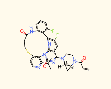 C=CC(=O)N1CCN(c2nc(=O)n3c4nc(c(F)cc24)-c2c(F)cccc2NC(=O)CCSc2ccnc(C(C)C)c2-3)[C@@H]2C[C@@H]21